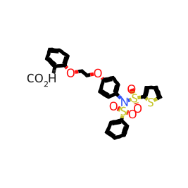 O=C(O)c1ccccc1OCCOc1ccc(N(S(=O)(=O)c2ccccc2)S(=O)(=O)c2cccs2)cc1